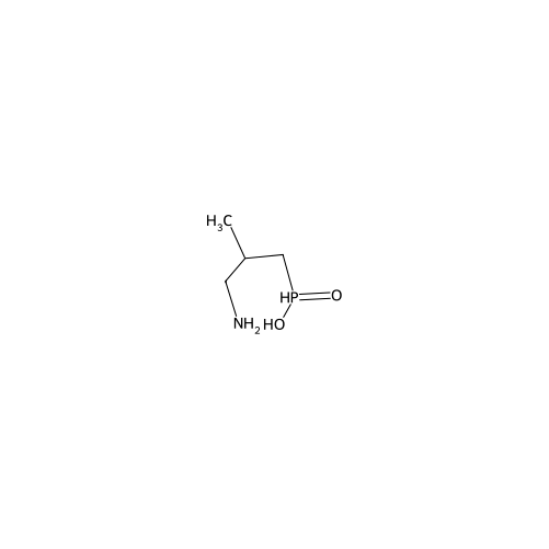 CC(CN)C[PH](=O)O